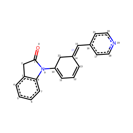 O=C1Cc2ccccc2N1C1=CC=C/C(=C\c2ccncc2)C1